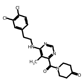 Cc1c(NCCc2ccc(Cl)c(Cl)c2)ncnc1C(=O)N1CCC(=O)CC1